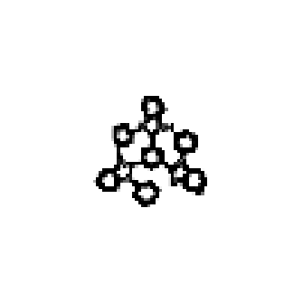 IN1c2ccccc2N(c2ccccc2)C1c1cc(-c2nc3ccccc3n2-c2ccccc2)cc(C2Nc3ccccc3N2c2ccccc2)c1